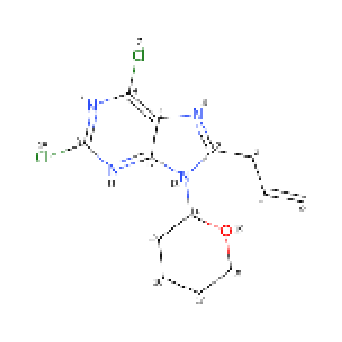 C=CCc1nc2c(Cl)nc(Cl)nc2n1C1CCCCO1